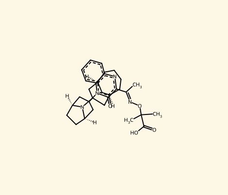 C/C(=N\OC(C)(C)C(=O)O)c1nc2ccccc2n(C2C[C@H]3CC[C@@H](C2)N3C2C[C@H]3CCCC[C@@H](C2)C3)c1=O